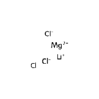 [Cl-].[Cl-].[Cl-].[Li+].[Mg+2]